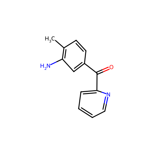 Cc1ccc(C(=O)c2ccccn2)cc1N